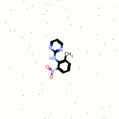 Cc1cccc([N+](=O)[O-])c1Nc1ncccn1